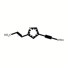 CCCCCCC#Cc1csc(/C=C/C(=O)O)c1